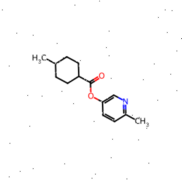 Cc1ccc(OC(=O)C2CCC(C)CC2)cn1